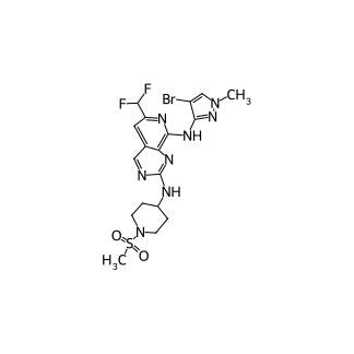 Cn1cc(Br)c(Nc2nc(C(F)F)cc3cnc(NC4CCN(S(C)(=O)=O)CC4)nc23)n1